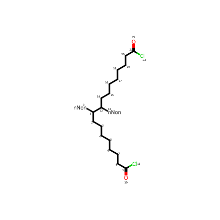 CCCCCCCCCC(CCCCCCCC(=O)Cl)C(CCCCCCCCC)CCCCCCCC(=O)Cl